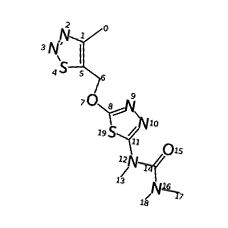 Cc1nnsc1COc1nnc(N(C)C(=O)N(C)C)s1